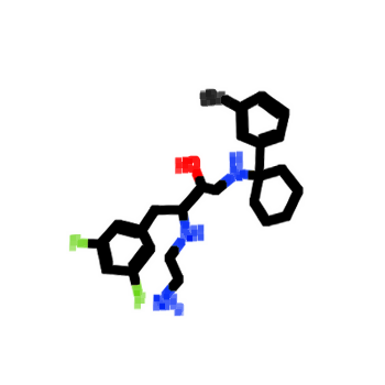 CC(C)(C)c1cccc(C2(NCC(O)C(Cc3cc(F)cc(F)c3)NCCN)CCCCC2)c1